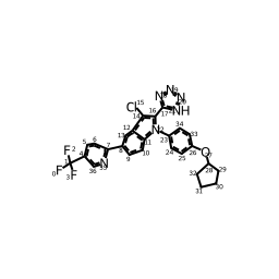 FC(F)(F)c1ccc(-c2ccc3c(c2)c(Cl)c(-c2nnn[nH]2)n3-c2ccc(OC3CCCC3)cc2)nc1